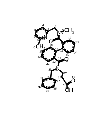 Cc1cccc(CN(C)C(=O)c2ccccc2-c2ccccc2C(=O)N(CCC(=O)O)Cc2ccccc2)n1